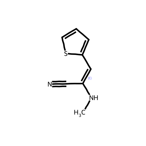 CN/C(C#N)=C/c1cccs1